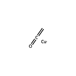 C=C=O.[Cu]